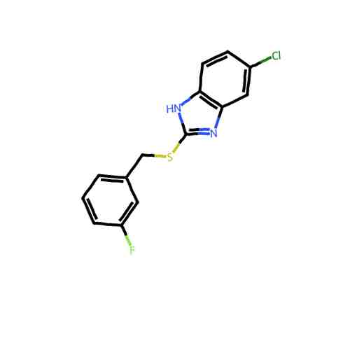 Fc1cccc(CSc2nc3cc(Cl)ccc3[nH]2)c1